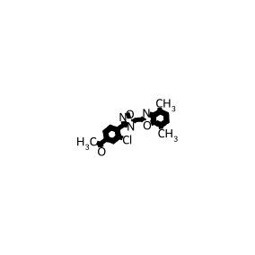 CC(=O)c1ccc(-c2noc(-c3nc4c(C)ccc(C)c4o3)n2)c(Cl)c1